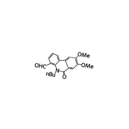 CCCCn1c(=O)c2cc(OC)c(OC)cc2c2cccc(C=O)c21